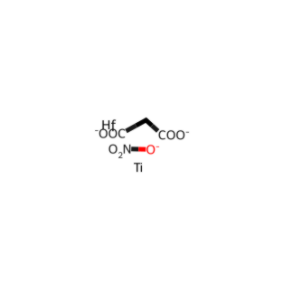 O=C([O-])CC(=O)[O-].O=[N+]([O-])[O-].[Hf].[Ti]